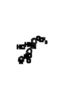 Cl.O=C1OC2(CCC(c3nc4cc(OC(F)(F)F)ccc4[nH]3)CC2)CN1c1cccnc1